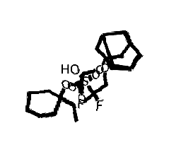 CCC1(OC(=O)COC23CC4CC(C2)C(OCC(F)(F)S(=O)(=O)O)C(C4)C3)CCCCC1